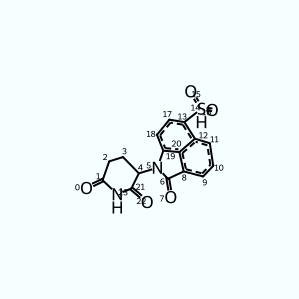 O=C1CCC(N2C(=O)c3cccc4c([SH](=O)=O)ccc2c34)C(=O)N1